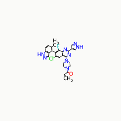 C=CC(=O)N1CCN(c2nc(-c3cn[nH]c3)nc3c(F)c(-c4c(C)ccc5[nH]ncc45)c(Cl)cc23)CC1